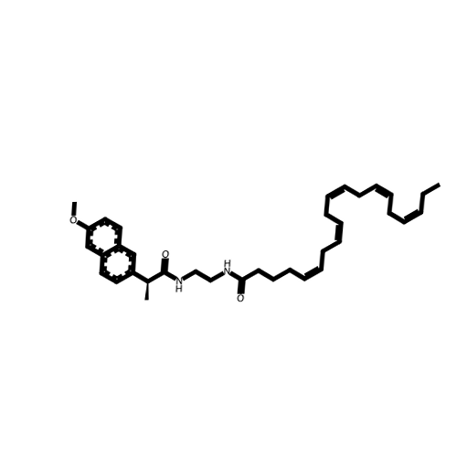 CC/C=C\C/C=C\C/C=C\C/C=C\C/C=C\CCCC(=O)NCCNC(=O)[C@@H](C)c1ccc2cc(OC)ccc2c1